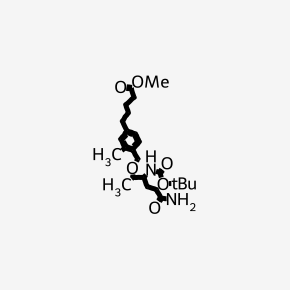 COC(=O)CCCCc1ccc(COC(C)C(CCC(N)=O)NC(=O)OC(C)(C)C)c(C)c1